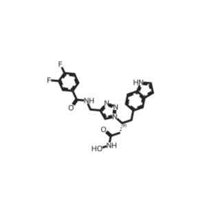 O=C(C[C@@H](Cc1ccc2[nH]ccc2c1)n1cc(CNC(=O)c2ccc(F)c(F)c2)nn1)NO